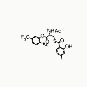 CC(=O)N[C@@H](CSC(=O)c1ccc(C)cc1O)C(=O)Oc1cc(C(F)(F)F)ccc1C(C)=O